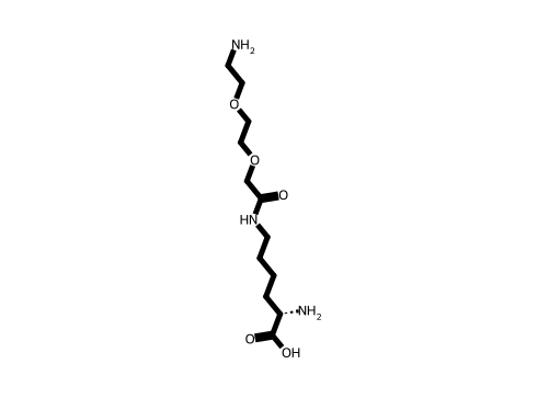 NCCOCCOCC(=O)NCCCC[C@H](N)C(=O)O